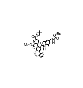 COC(=O)c1nc(C(=O)N2CC(C)(C)C2)ccc1-c1cc2c(cc1C(=O)Nc1c(C)cc(CNC(=O)OC(C)(C)C)cc1C)-c1sccc1CCO2